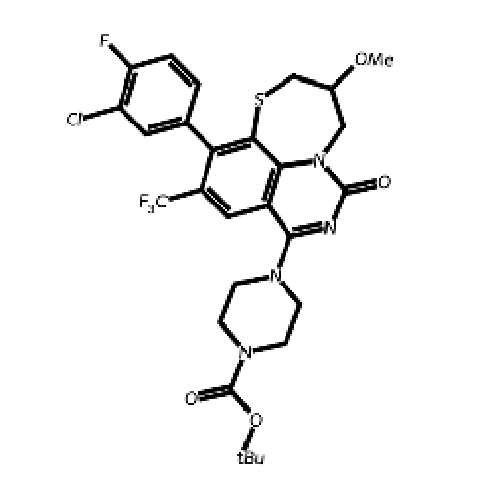 COC1CSc2c(-c3ccc(F)c(Cl)c3)c(C(F)(F)F)cc3c(N4CCN(C(=O)OC(C)(C)C)CC4)nc(=O)n(c23)C1